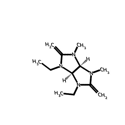 C=C1N(C)[C@H]2[C@@H](N1CC)N(CC)C(=C)N2C